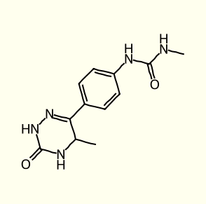 CNC(=O)Nc1ccc(C2=NNC(=O)NC2C)cc1